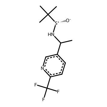 CC(N[S@@+]([O-])C(C)(C)C)c1ccc(C(F)(F)F)nc1